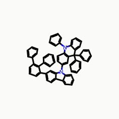 c1ccc(-c2cccc(-c3ccc4c5ccccc5n(-c5ccc6c(c5)C(c5ccccc5)(c5ccccc5)c5ccccc5N6c5ccccc5)c4c3)c2-c2ccccc2)cc1